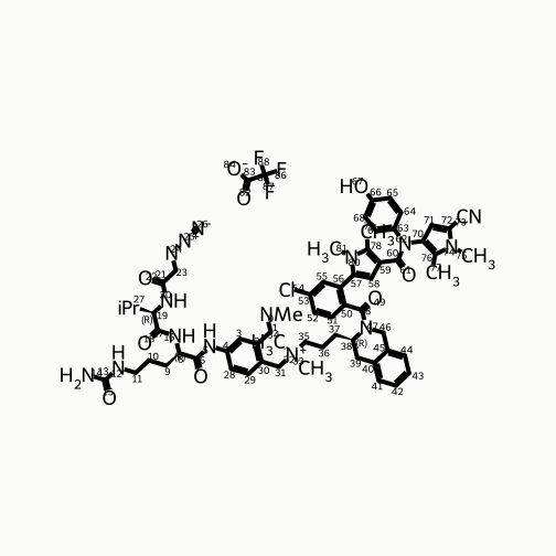 CNCc1cc(NC(=O)[C@@H](CCCNC(N)=O)NC(=O)[C@H](NC(=O)CN=[N+]=[N-])C(C)C)ccc1C[N+](C)(C)CCC[C@@H]1Cc2ccccc2CN1C(=O)c1ccc(Cl)cc1-c1cc(C(=O)N(c2ccc(O)cc2)c2cc(C#N)n(C)c2C)c(C)n1C.O=C([O-])C(F)(F)F